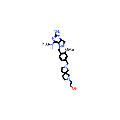 CCCCNc1nc(N)nc2cnn(Cc3ccc(CN4CCC5(CCN(CCO)C5)C4)cc3OC)c12